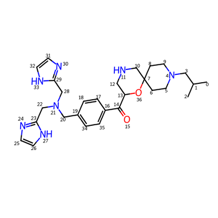 CC(C)CN1CCC2(CC1)CNCC(C(=O)c1ccc(CN(Cc3ncc[nH]3)Cc3ncc[nH]3)cc1)O2